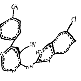 Cc1ccc(-c2ncnc(Nc3nc4ccc(Cl)cc4[nH]3)c2O)cc1